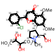 COc1cc(OC)c2c(=O)cc(-c3ccccc3Cl)oc2c1[C@H]1CCN(C)[C@@H]1CO.O=C(O)C(O)C(O)C(=O)O